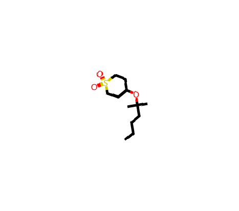 CCCCC(C)(C)OC1CCS(=O)(=O)CC1